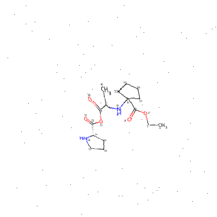 CCOC(=O)C1(NC(C)C(=O)OC(=O)[C@@H]2CCCN2)CCCC1